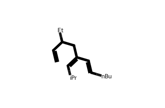 C=CC(CC)CC(C=CCCCC)=CC(C)C